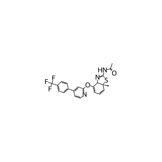 CC(=O)NC1=NC2C(Oc3cc(-c4ccc(C(F)(F)F)cc4)ccn3)=CC=C[C@@]2(C)S1